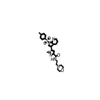 Cc1ccc(S(=O)(=O)n2cc(-c3cc(C(=O)NCCN4CCOCC4)nn3C)c3cccnc32)cc1